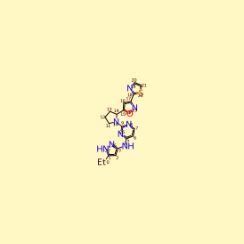 CCc1cc(Nc2ccnc(N3CCCC3c3cc(-c4nccs4)no3)n2)n[nH]1